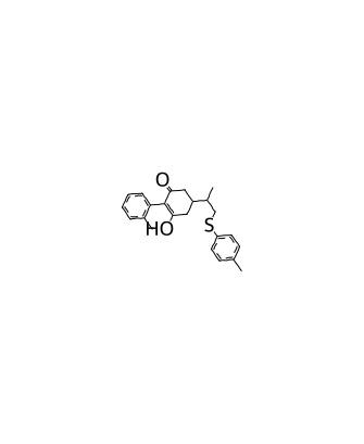 Cc1ccc(SCC(C)C2CC(=O)C(c3ccccc3C)=C(O)C2)cc1